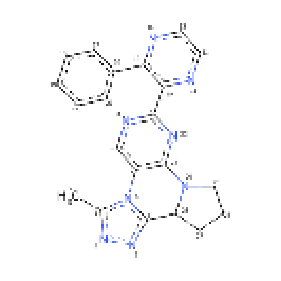 Cc1nnc2n1-c1cnc(-c3nccnc3-c3ccccc3)nc1N1CCCC21